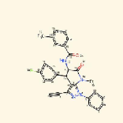 C#Cc1nn(-c2ccccc2)c2c1[C@@H](c1ccc(F)cc1)[C@@H](NC(=O)c1cccc(C(F)(F)F)c1)C(=O)N2CC